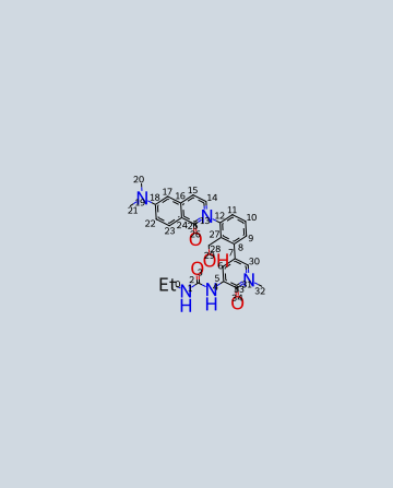 CCNC(=O)Nc1cc(-c2cccc(-n3ccc4cc(N(C)C)ccc4c3=O)c2CO)cn(C)c1=O